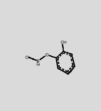 Oc1ccccc1OBCl